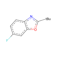 CC(C)(C)c1nc2ccc(F)cc2o1